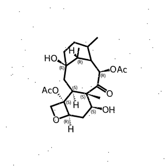 CC(=O)O[C@H]1C(=O)[C@@]2(C)[C@H](C[C@]3(O)CCC(C)C1[C@H]3C)[C@]1(OC(C)=O)CO[C@@H]1C[C@@H]2O